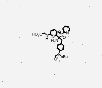 CCCCN(CC(F)(F)F)c1ccc(CC(N)(c2cccc(NCC(=O)O)n2)S(=O)(=O)c2ccccn2)cc1